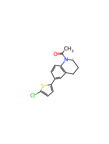 CC(=O)N1[CH]CCc2cc(-c3ccc(Cl)s3)ccc21